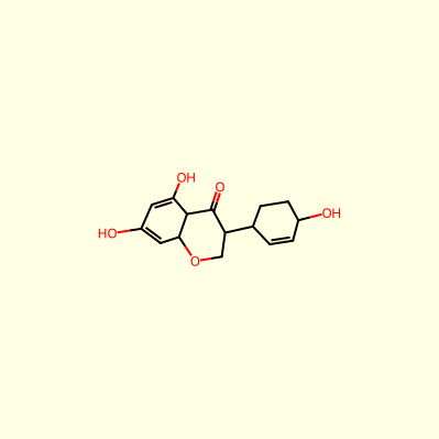 O=C1C(C2C=CC(O)CC2)COC2C=C(O)C=C(O)C12